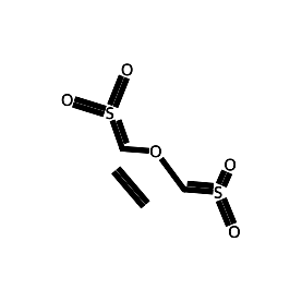 C=C.O=S(=O)=COC=S(=O)=O